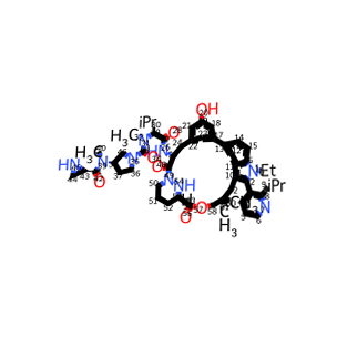 CCn1c(-c2cccnc2C(C)C)c2c3cc(ccc31)-c1cc(O)cc(c1)C[C@H](NC(=O)[C@H](C(C)C)N(C)C(=O)N1CC[C@H](N(C)C(=O)[C@@H]3CN3)C1)C(=O)N1CCC[C@H](N1)C(=O)OCC(C)(C)C2